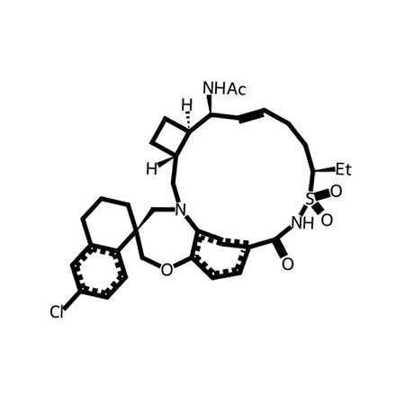 CC[C@@H]1CC/C=C/[C@H](NC(C)=O)[C@@H]2CC[C@H]2CN2C[C@@]3(CCCc4cc(Cl)ccc43)COc3ccc(cc32)C(=O)NS1(=O)=O